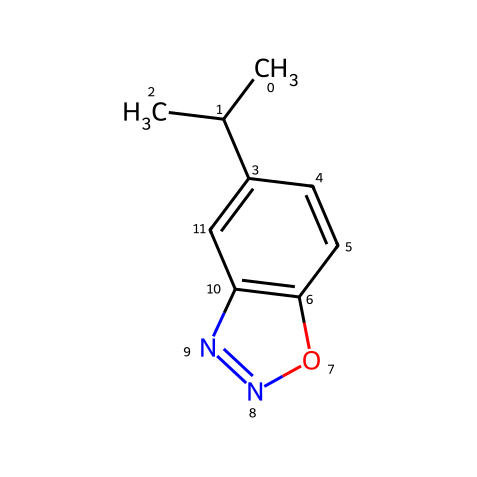 CC(C)c1ccc2onnc2c1